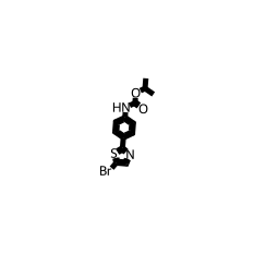 CC(C)OC(=O)Nc1ccc(-c2ncc(Br)s2)cc1